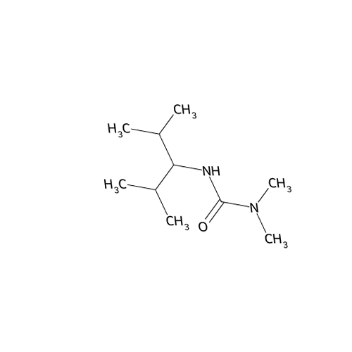 CC(C)C(NC(=O)N(C)C)C(C)C